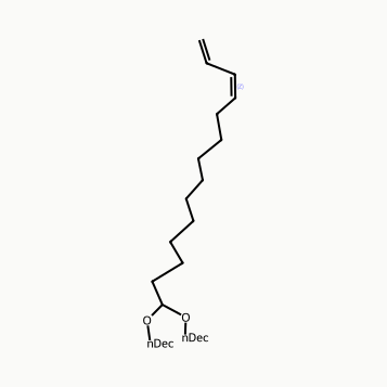 C=C/C=C\CCCCCCCCCC(OCCCCCCCCCC)OCCCCCCCCCC